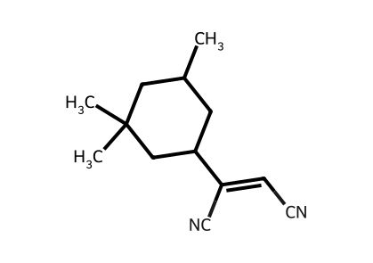 CC1CC(C(C#N)=CC#N)CC(C)(C)C1